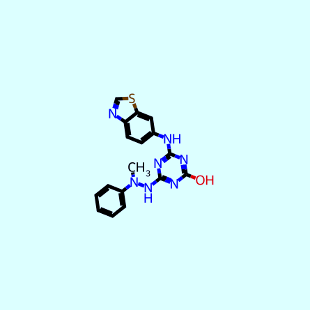 CN(Nc1nc(O)nc(Nc2ccc3ncsc3c2)n1)c1ccccc1